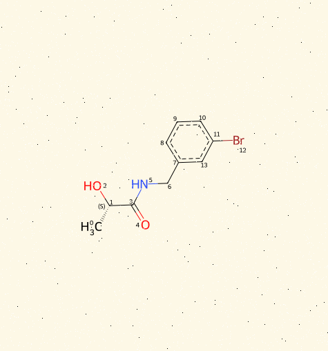 C[C@H](O)C(=O)NCc1cccc(Br)c1